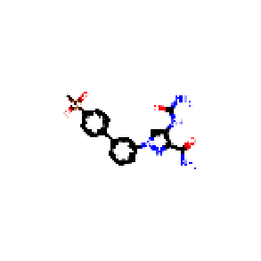 CS(=O)(=O)c1ccc(-c2cccc(-n3cc(NC(N)=O)c(C(N)=O)n3)c2)cc1